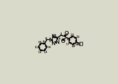 O=S(=O)(Cc1nnn(Cc2ccccc2)n1)c1ccc(Cl)cc1